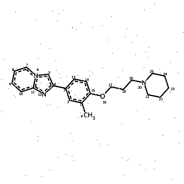 Cc1cc(-c2cn3ccccc3n2)ccc1OCCCN1CCCCC1